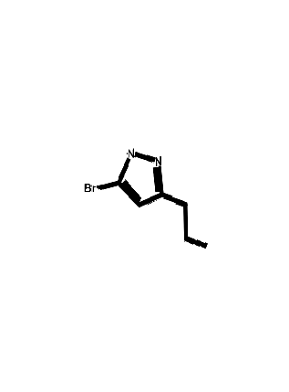 CCCC1=N[N]C(Br)=C1